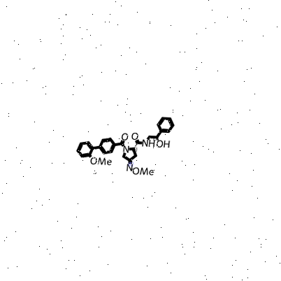 CO/N=C1\C[C@@H](C(=O)NC[C@@H](O)c2ccccc2)N(C(=O)c2ccc(-c3ccccc3OC)cc2)C1